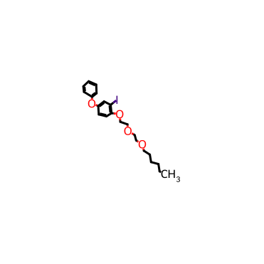 CCCCCCOCCOCCOc1ccc(Oc2ccccc2)cc1I